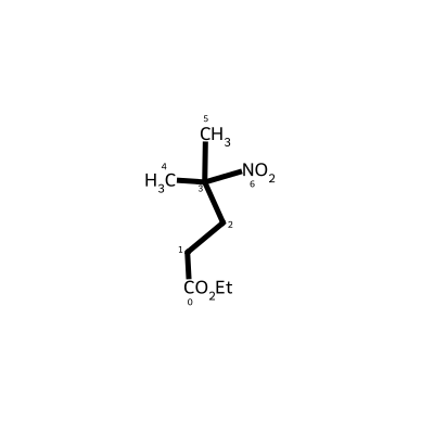 CCOC(=O)CCC(C)(C)[N+](=O)[O-]